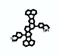 c1cc2c3c(cccc3c1)-c1cc3c(cc1-2)c(-c1ccc2ccnnc2c1)cc1c2cc4c(c(-c5ccc6cnncc6c5)c2ccc31)-c1cccc2cccc-4c12